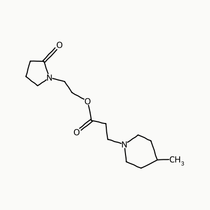 CC1CCN(CCC(=O)OCCN2CCCC2=O)CC1